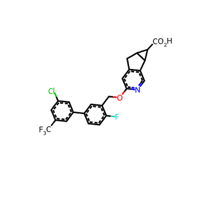 O=C(O)C1C2Cc3cc(OCc4cc(-c5cc(Cl)cc(C(F)(F)F)c5)ccc4F)ncc3C21